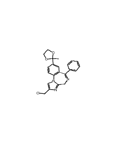 CC1(c2ccc3c(c2)C(c2ccccc2)=NCc2nc(CCl)cn2-3)OCCO1